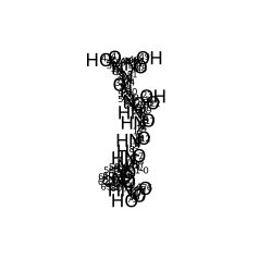 CC[C@H](C)[C@H](NC(=O)CCNC(=O)CCNC(=O)C(CCC(=O)O)NC(=O)CN1CCN(C(=O)CN2CCN(CC(=O)O)CCN(CC(=O)O)CC2)CC1)C(=O)N[C@H]1CCc2cccc3c2N(C1=O)[C@H](C(=O)NC1CC(=O)OC1O)C3